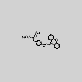 CCC(C)O[C@@H](Cc1ccc(OCCN2c3ccccc3Oc3ccccc32)cc1)C(=O)O